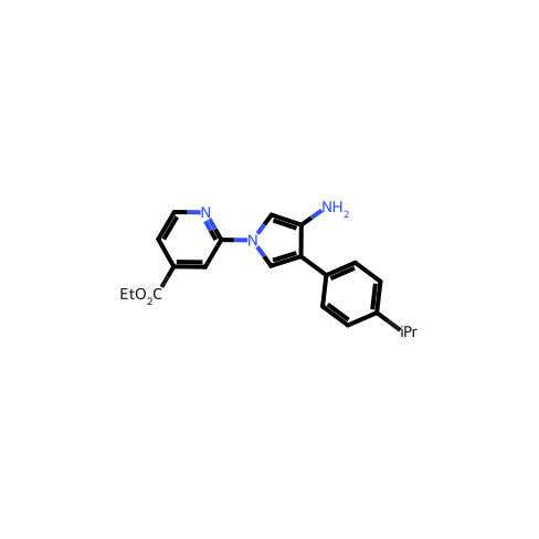 CCOC(=O)c1ccnc(-n2cc(N)c(-c3ccc(C(C)C)cc3)c2)c1